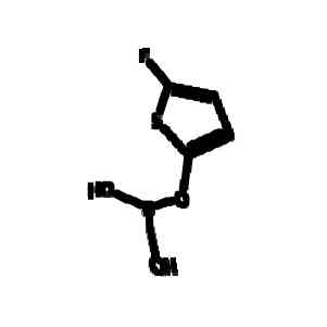 OB(O)Oc1ccc(F)s1